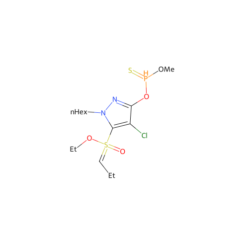 CCC=S(=O)(OCC)c1c(Cl)c(O[PH](=S)OC)nn1CCCCCC